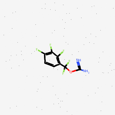 N=C(N)OC(F)(F)c1ccc(F)c(F)c1F